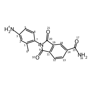 Cc1cc(N)ccc1N1C(=O)c2ccc(C(N)=O)cc2C1=O